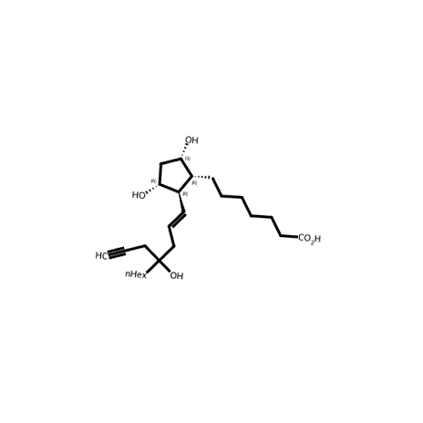 C#CCC(O)(CC=C[C@@H]1[C@@H](CCCCCCC(=O)O)[C@@H](O)C[C@H]1O)CCCCCC